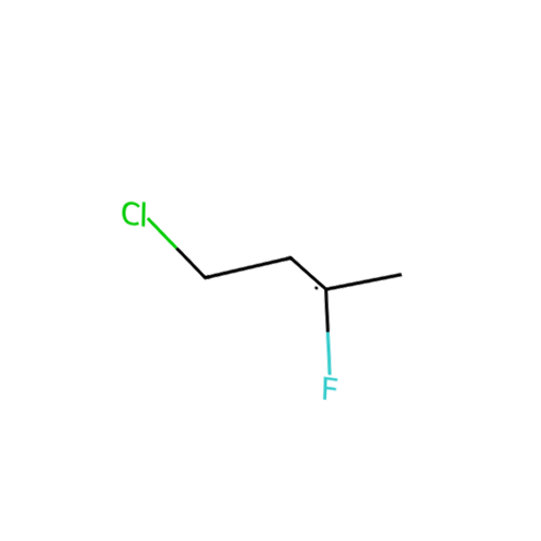 C[C](F)CCCl